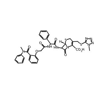 CN(C(=O)c1ccccc1OCC(=O)N[C@H](C(=O)NC1C(=O)N2C(C(=O)O)=C(CSc3nnnn3C)CS[C@@H]12)c1ccccc1)c1ccccc1